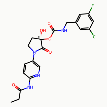 CCC(=O)Nc1ccc(N2CC[C@@](O)(OC(=O)NCc3cc(F)cc(Cl)c3)C2=O)cn1